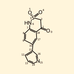 O=C1CS(=O)(=O)Nc2ccc(-c3cccnc3)cc21